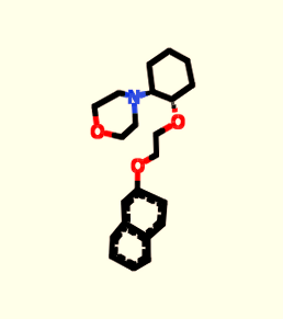 c1ccc2cc(OCCO[C@H]3CCCC[C@@H]3N3CCOCC3)ccc2c1